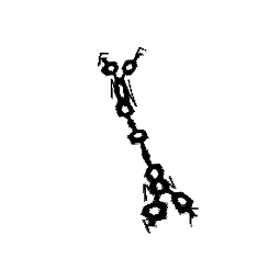 Fc1ccc(-c2nc3ccc(C#Cc4ccc(C#Cc5ccc6nc(-c7ccc(F)cc7)c(-c7ccc(F)cc7)nc6c5)cc4)cc3nc2-c2ccc(F)cc2)cc1